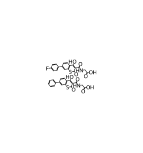 O=C(O)CNC(=O)c1c(O)c2ccc(-c3ccc(F)cc3)cc2sc1=O.O=C(O)CNC(=O)c1c(O)c2ccc(-c3ccccc3)cc2sc1=O